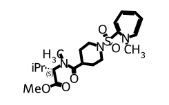 COC(=O)[C@H](C(C)C)N(C)C(=O)C1CCN(S(=O)(=O)C2=CC=CC=CN2C)CC1